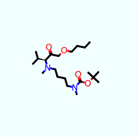 CCCCOCC(=O)[C@H](C(C)C)N(C)CCCCN(C)C(=O)OC(C)(C)C